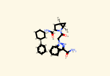 NC(=O)c1nn(CC(=O)N2[C@@H]3C[C@@H]3C[C@H]2C(=O)N[C@H]2CCC[C@H](c3ccccc3)C2)c2ccccc12